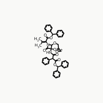 COC1(NC(=O)C(C(=O)OC(c2ccccc2)c2ccccc2)c2ccccc2)C(=O)N(C(C(=O)OC(c2ccccc2)c2ccccc2)=C(C)C)C1OCC1CO1